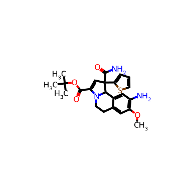 COc1cc2c(cc1N)C1N(CC2)C(C(=O)OC(C)(C)C)=CC1(C(N)=O)c1cccs1